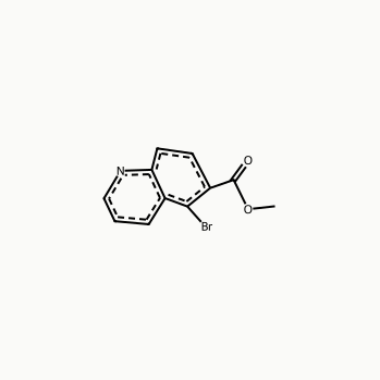 COC(=O)c1ccc2ncccc2c1Br